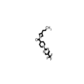 CCCC1CN(C(=O)C2CCN(c3ncc(C(F)(F)F)cn3)CC2)C1